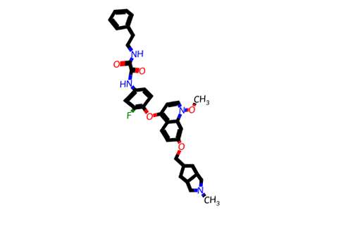 CON1C=CC(Oc2ccc(NC(=O)C(=O)NCCc3ccccc3)cc2F)=C2C=CC(OCC3CC4CN(C)CC4C3)=CC21